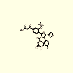 CC(C)(C)Oc1cc(C(=O)CC(=O)O)ccc1C1=N[C@@H](c2ccns2)[C@@H](c2ccc(Cl)cc2)N1C(=O)N1CCNC(=O)C1